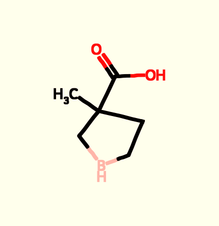 CC1(C(=O)O)CBCC1